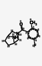 Cc1ccc(F)cc1C(=O)N1CC2CCC(C1)N2